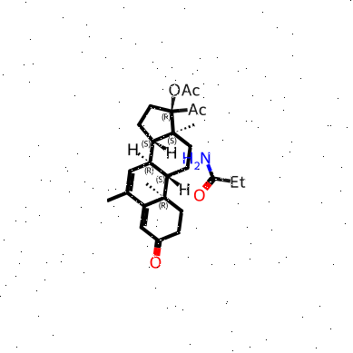 CC(=O)O[C@]1(C(C)=O)CC[C@H]2[C@@H]3C=C(C)C4=CC(=O)CC[C@]4(C)[C@H]3CC[C@@]21C.CCC(N)=O